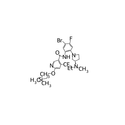 CCN(C)[C@@H]1CCN(c2cc(F)c(Br)cc2NC(=O)c2cnc(OCC[Si](C)(C)C)cc2C(F)(F)F)C1